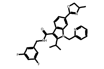 CC1COC(c2ccc3c(C(=O)NCc4cc(F)cc(F)c4)c(C(C)C)n(Cc4ccccn4)c3c2)=N1